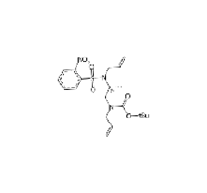 C=CCN(C[C@@H](C)N(CC=C)S(=O)(=O)c1ccccc1[N+](=O)[O-])C(=O)OC(C)(C)C